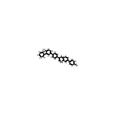 Ic1ccc(-c2ccc3cc(-c4ccc(-c5ccc6oc7ccccc7c6c5)cc4)cnc3c2)cc1